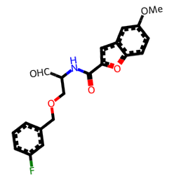 COc1ccc2oc(C(=O)NC(C=O)COCc3cccc(F)c3)cc2c1